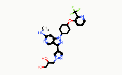 CNc1cc2c(cn1)c(-c1cnn(CC(O)CO)c1)nn2C1CCC(Oc2cccnc2C(F)(F)F)CC1